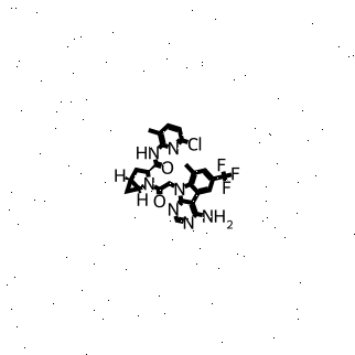 Cc1ccc(Cl)nc1NC(=O)[C@@H]1C[C@H]2C[C@H]2N1C(=O)Cn1c2ncnc(N)c2c2cc(C(F)(F)F)cc(C)c21